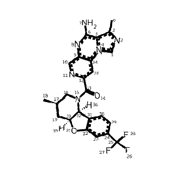 Cc1ncn2c1c(N)nc1cnc(C(=O)N3C[C@H](C)C[C@@H]4Oc5cc(C(F)(F)F)ccc5[C@@H]43)cc12